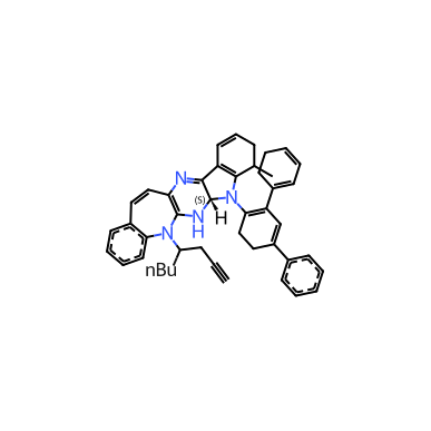 C#CCC(CCCC)N1C2=C(C=Cc3ccccc31)N=C1C3=C(C(C)CC=C3)N(C3=C(C4=CC=CCC4)C=C(c4ccccc4)CC3)[C@@H]1N2